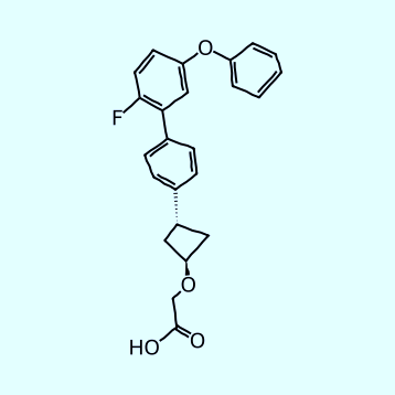 O=C(O)CO[C@H]1C[C@H](c2ccc(-c3cc(Oc4ccccc4)ccc3F)cc2)C1